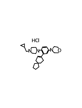 C1=C(c2cc(N3CCOCC3)ccc2N2CCN(CC3CC3)CC2)CCC2(C1)CCCC2.Cl